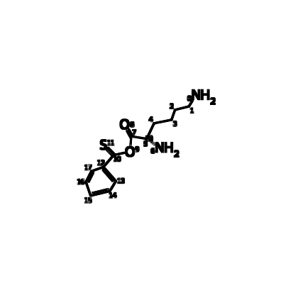 NCCCC[C@H](N)C(=O)OC(=S)c1ccccc1